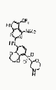 CNc1nc(Nc2ccc(S(=O)(=O)C3CNCCO3)c3c2OCCO3)nc2[nH]cc(C(F)(F)F)c12